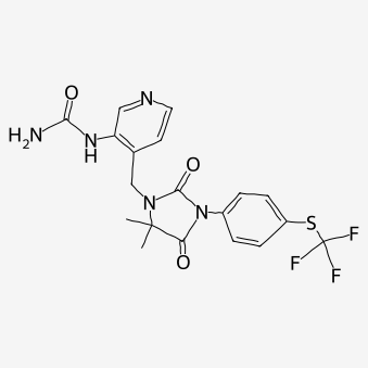 CC1(C)C(=O)N(c2ccc(SC(F)(F)F)cc2)C(=O)N1Cc1ccncc1NC(N)=O